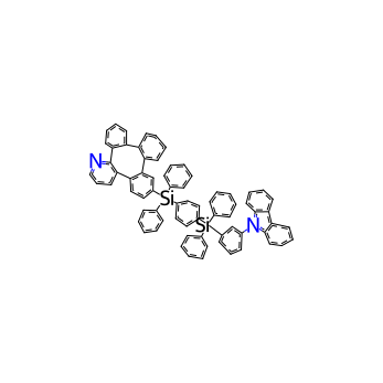 c1ccc([Si](c2ccccc2)(c2ccc([Si](c3ccccc3)(c3ccccc3)c3ccc4c(c3)-c3ccccc3-c3ccccc3-c3ncccc3-4)cc2)c2cccc(-n3c4ccccc4c4ccccc43)c2)cc1